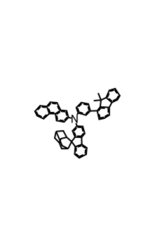 CC1(C)c2ccccc2-c2cccc(-c3cccc(N(c4ccc5c(c4)C4(c6ccccc6-5)C5CC6CC(C5)CC4C6)c4ccc5c(ccc6ccccc65)c4)c3)c21